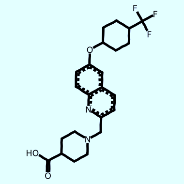 O=C(O)C1CCN(Cc2ccc3cc(OC4CCC(C(F)(F)F)CC4)ccc3n2)CC1